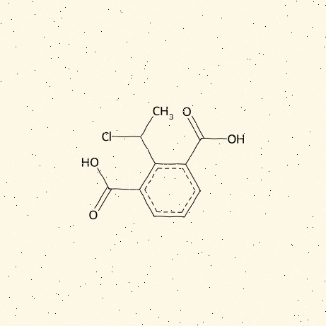 CC(Cl)c1c(C(=O)O)cccc1C(=O)O